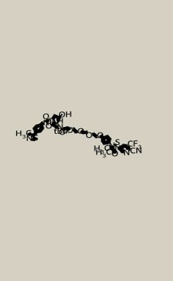 Cc1ncsc1-c1ccc(CNC(=O)[C@@H]2C[C@@H](O)CN2C(=O)[C@@H](NC(=O)COCCOCCOCCOc2ccc(N3C(=S)N(c4cnc(C#N)c(C(F)(F)F)c4)C(=O)C3(C)C)cc2)C(C)(C)C)cc1